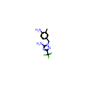 Cc1cc(Cn2nc(C(F)(F)F)nc2N)ccc1N